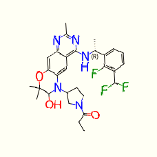 CCC(=O)N1CCC(N2c3cc4c(N[C@H](C)c5cccc(C(F)F)c5F)nc(C)nc4cc3OC(C)(C)C2O)C1